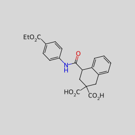 CCOC(=O)c1ccc(NC(=O)C2CC(C(=O)O)(C(=O)O)Cc3ccccc32)cc1